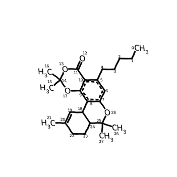 CCCCCc1cc2c(c3c1C(=O)OC(C)(C)O3)C1C=C(C)CCC1C(C)(C)O2